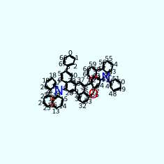 c1ccc(-c2ccc3c(N(c4ccccc4)c4ccccc4-c4ccccc4)cc4c5cccc6c5c(cc4c3c2)-c2ccc(N(c3ccccc3)c3ccccc3-c3ccccc3)cc2O6)cc1